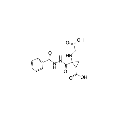 O=C(O)CNC1(C(=O)NNC(=O)c2ccccc2)CC1C(=O)O